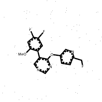 COc1cc(F)c(F)cc1-c1cncnc1Oc1ccc(CF)nc1